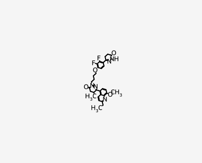 CCc1ccc2c(C3=NN(CCCCOc4ccc(C5=NNC(=O)CC5)c(F)c4F)C(=O)CC3C)ccc(OC)c2n1